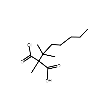 CCCCCC(C)(C)C(C)(C(=O)O)C(=O)O